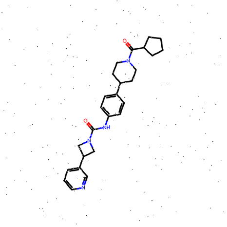 O=C(Nc1ccc(C2CCN(C(=O)C3CCCC3)CC2)cc1)N1CC(c2cccnc2)C1